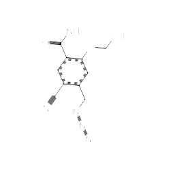 CCOc1cc(CN=[N+]=[N-])c(C#N)cc1C(N)=O